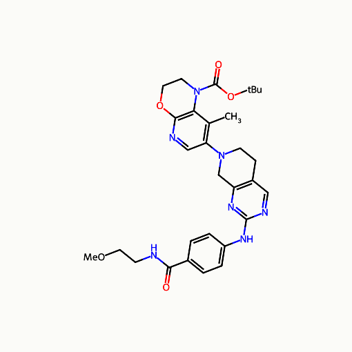 COCCNC(=O)c1ccc(Nc2ncc3c(n2)CN(c2cnc4c(c2C)N(C(=O)OC(C)(C)C)CCO4)CC3)cc1